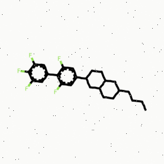 CCCCC1CCC2CC(c3cc(F)c(-c4cc(F)c(F)c(F)c4)c(F)c3)CCC2C1